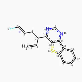 C=CC(C/C=C/F)c1ncnc2c1sc1ccccc12